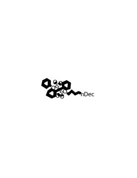 CCCCCCCCCCCCCCOS(=O)(=O)C(c1ccccc1)(c1ccccc1)S(=O)(=O)Oc1ccccc1